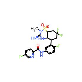 CN1C(=N)NC2C(c3cc(NC(=O)c4ccc(F)cn4)ccc3F)CC(F)(F)CC2S1(=O)=O